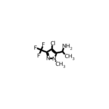 CC(N)c1c(Cl)c(C(F)(F)F)nn1C